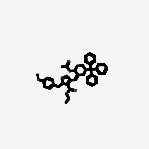 CCOC(=O)c1c(/C=C2/CN(C(c3ccccc3)(c3ccccc3)c3ccccc3)CCC2SC(C)=O)nnn1Cc1ccc(OC)cc1